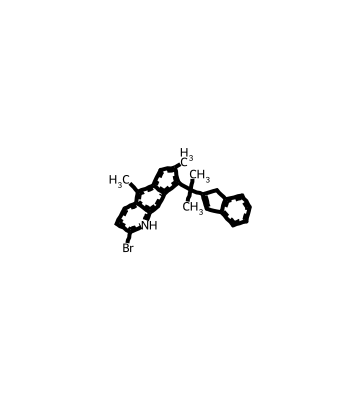 Cc1cc2c(C)c3ccc(Br)[nH]c3cc2c1C(C)(C)C1=Cc2ccccc2C1